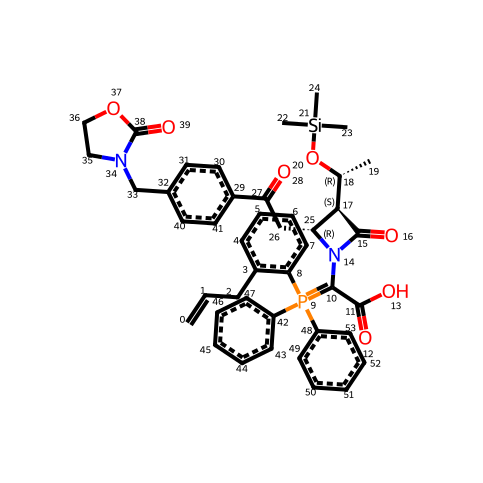 C=CCc1ccccc1P(=C(C(=O)O)N1C(=O)[C@H]([C@@H](C)O[Si](C)(C)C)[C@H]1CC(=O)c1ccc(CN2CCOC2=O)cc1)(c1ccccc1)c1ccccc1